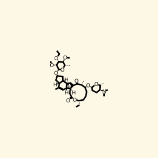 CCO[C@@H]1[C@@H](OC)[C@H](C)O[C@@H](O[C@@H]2C[C@H]3[C@@H]4C=C5C(=O)[C@H](C)[C@@H](O[C@H]6CC[C@H](N(C)C)[C@@H](C)O6)CCC[C@H](CC)OC(=O)C[C@H]5[C@@H]4C=C(C)[C@@H]3C2)[C@@H]1OC